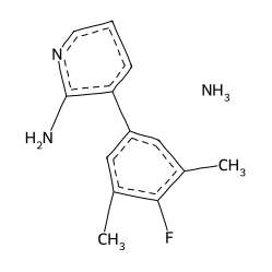 Cc1cc(-c2cccnc2N)cc(C)c1F.N